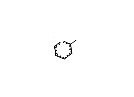 Br.FC(F)(F)c1ccccn1